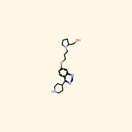 OCC1CCCN1CCCOc1ccc2c(C3CCNCC3)ncnc2c1